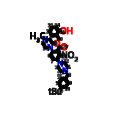 CN1CCN(c2ccc(N3CCN(Cc4ccc(C(C)(C)C)cc4)CC3)c([N+](=O)[O-])c2C(=O)OCc2ccccc2O)CC1